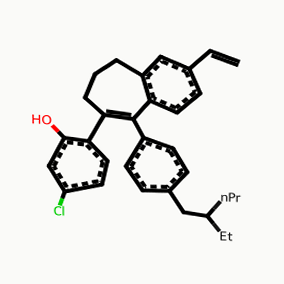 C=Cc1ccc2c(c1)CCCC(c1ccc(Cl)cc1O)=C2c1ccc(CC(CC)CCC)cc1